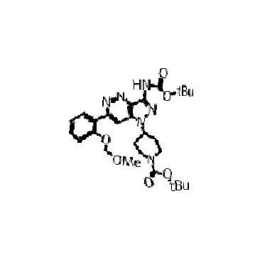 COCOc1ccccc1-c1cc2c(nn1)c(NC(=O)OC(C)(C)C)nn2C1CCN(C(=O)OC(C)(C)C)CC1